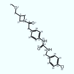 COCC1CN(C(=O)Cc2ccc(NC(=O)NCc3ccc(Cl)cc3)cc2)C1